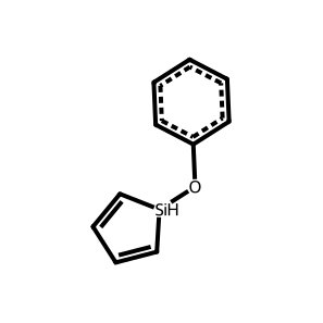 C1=C[SiH](Oc2ccccc2)C=C1